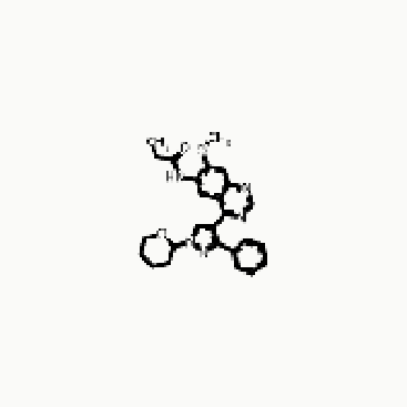 CCC(=O)Nc1cc2c(-c3cn(C4CCCCO4)nc3-c3ccccc3)ncnc2cc1OC